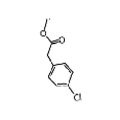 [CH2]OC(=O)Cc1ccc(Cl)cc1